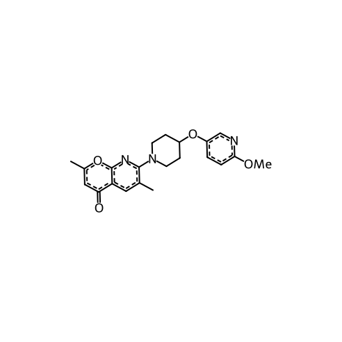 COc1ccc(OC2CCN(c3nc4oc(C)cc(=O)c4cc3C)CC2)cn1